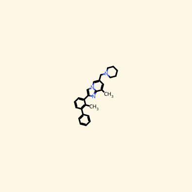 Cc1c(-c2ccccc2)cccc1-c1cn2cc(CN3CCCCC3)cc(C)c2n1